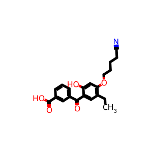 CCc1cc(C(=O)c2cccc(C(=O)O)c2)c(O)cc1OCCCCC#N